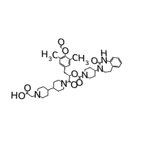 Cc1cc(C[C@@H](OC(=O)N2CCC(N3CCc4ccccc4NC3=O)CC2)C(=O)N2CCC(C3CCN(CC(=O)O)CC3)CC2)cc(C)c1OC=O